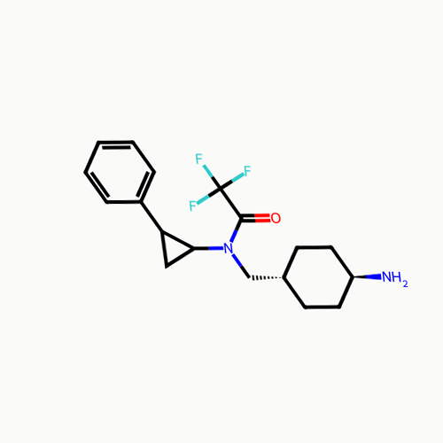 N[C@H]1CC[C@H](CN(C(=O)C(F)(F)F)C2CC2c2ccccc2)CC1